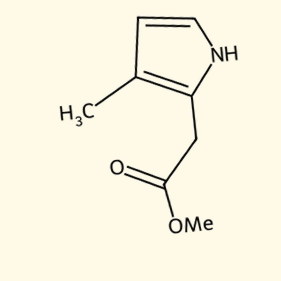 COC(=O)Cc1[nH]ccc1C